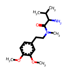 COc1ccc(CCN(C)C(=O)C(N)C(C)C)cc1OC